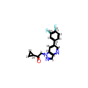 O=C(Cn1ncc2ncc(-c3ccc(F)c(F)c3)cc21)C1CC1